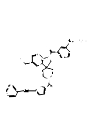 COC(=O)c1cccc(C(=O)N2CC3(CCN(C(=O)c4ccc(C#Cc5ccccc5)o4)CC3)c3cc(CN)ccc32)c1